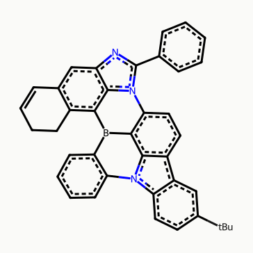 CC(C)(C)c1ccc2c(c1)c1ccc3c4c1n2-c1ccccc1B4c1c2c(cc4nc(-c5ccccc5)n-3c14)C=CCC2